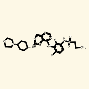 CCCS(=O)(=O)Nc1ccc(F)c(Nc2ncnc3cnc(N[C@H]4CC[C@H](N5CCOCC5)CC4)nc23)c1F